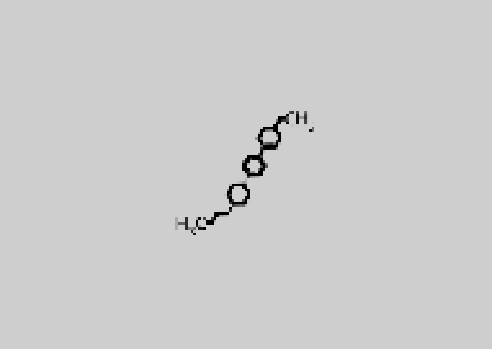 CCCC[C@H]1CC[C@H](c2ccc(C3=CCC(CC)CC3)cc2)CC1